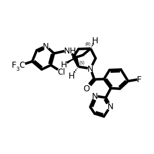 O=C(c1ccc(F)cc1-c1ncccn1)N1C[C@@H]2CC[C@H]1[C@H](Nc1ncc(C(F)(F)F)cc1Cl)C2